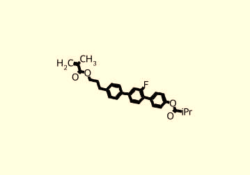 C=C(C)C(=O)OCCCc1ccc(-c2ccc(-c3ccc(OC(=O)C(C)C)cc3)c(F)c2)cc1